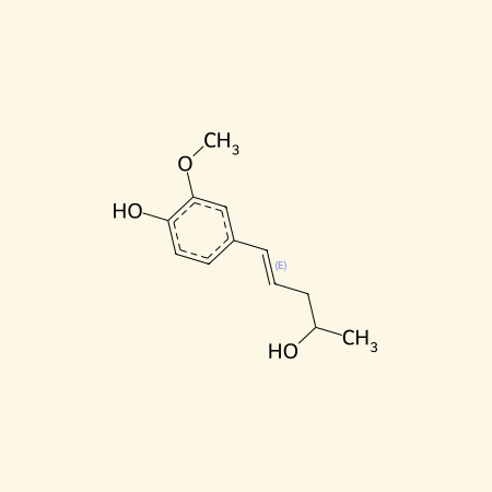 COc1cc(/C=C/CC(C)O)ccc1O